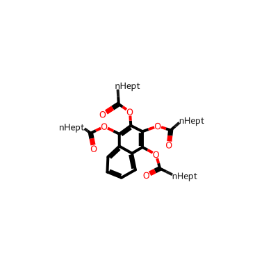 CCCCCCCC(=O)Oc1c(OC(=O)CCCCCCC)c(OC(=O)CCCCCCC)c2ccccc2c1OC(=O)CCCCCCC